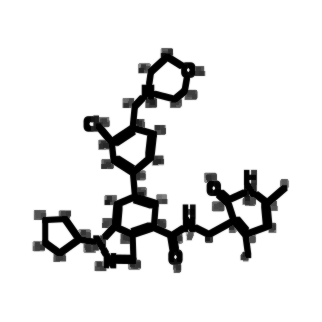 Cc1cc(C)c(CNC(=O)c2cc(-c3ccc(CN4CCOCC4)c(Cl)c3)cc3c2cnn3C2CCCC2)c(=O)[nH]1